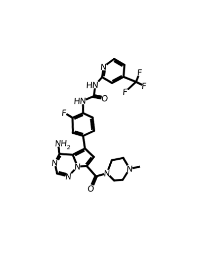 CN1CCN(C(=O)c2cc(-c3ccc(NC(=O)Nc4cc(C(F)(F)F)ccn4)c(F)c3)c3c(N)ncnn23)CC1